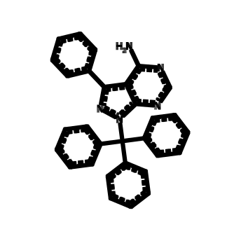 Nc1ncnc2c1c(-c1ccccc1)nn2C(c1ccccc1)(c1ccccc1)c1ccccc1